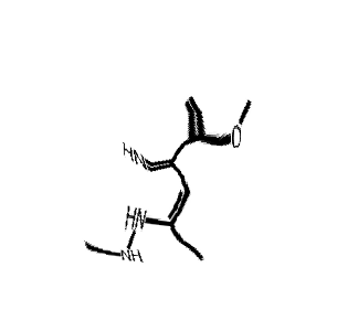 C=C(OC)C(=N)/C=C(/C)NNC